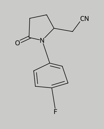 N#CCC1CCC(=O)N1c1ccc(F)cc1